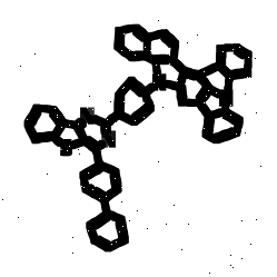 c1ccc(-c2ccc(-c3nc(-c4ccc(-n5c6cc7c8ccccc8n8c9ccccc9c(c6c6ccc9ccccc9c65)c78)cc4)nc4c3sc3ccccc34)cc2)cc1